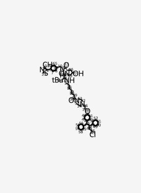 Cc1ncsc1-c1ccc(CNC(=O)[C@@H]2C[C@@H](O)CN2C(=O)C(NCCCCCCC(=O)N2CCN(CCOc3ccc(/C(=C(/CCCl)c4ccccc4)c4ccccc4)cc3)CC2)C(C)(C)C)cc1